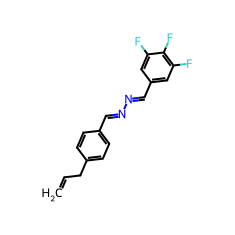 C=CCc1ccc(C=NN=Cc2cc(F)c(F)c(F)c2)cc1